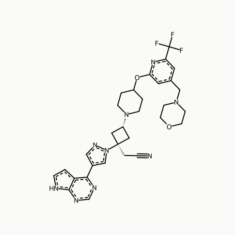 N#CC[C@]1(n2cc(-c3ncnc4[nH]ccc34)cn2)C[C@H](N2CCC(Oc3cc(CN4CCOCC4)cc(C(F)(F)F)n3)CC2)C1